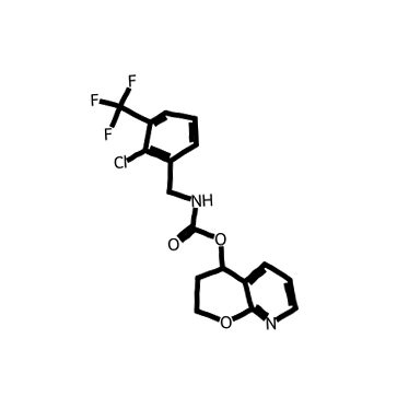 O=C(NCc1cccc(C(F)(F)F)c1Cl)OC1CCOc2ncccc21